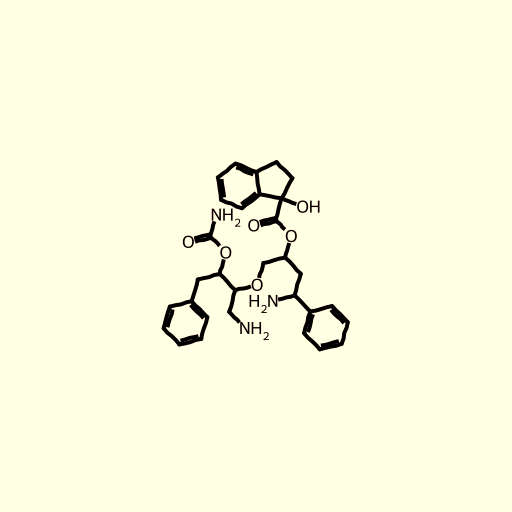 NCC(OCC(CC(N)c1ccccc1)OC(=O)C1(O)CCc2ccccc21)C(Cc1ccccc1)OC(N)=O